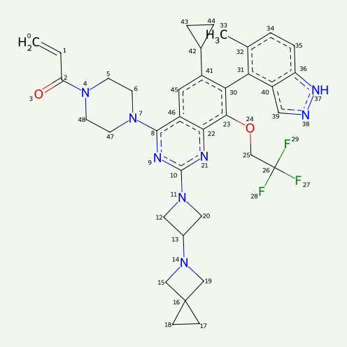 C=CC(=O)N1CCN(c2nc(N3CC(N4CC5(CC5)C4)C3)nc3c(OCC(F)(F)F)c(-c4c(C)ccc5[nH]ncc45)c(C4CC4)cc23)CC1